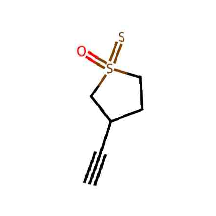 C#CC1CCS(=O)(=S)C1